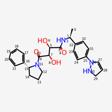 C[C@H](NC(=O)[C@H](O)[C@@H](O)C(=O)N1CCC[C@@H]1c1ccccc1)c1ccc(N2C=CCN2)cc1